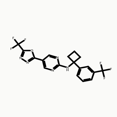 FC(F)(F)c1cccc(C2(Nc3ncc(-c4nnc(C(F)(F)F)o4)cn3)CCC2)c1